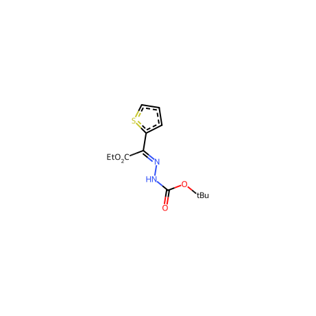 CCOC(=O)C(=NNC(=O)OC(C)(C)C)c1cccs1